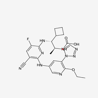 CCOc1ncc(Nc2nc(N[C@H](C3CCC3)[C@H](C)NC(=O)O)c(F)cc2C#N)cc1-n1ccnn1